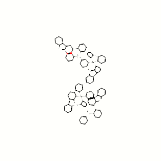 c1ccc(N(c2ccc3c(c2)C2(c4ccccc4-c4ccccc42)c2cccc4c5ccc(-c6cccc7c6-c6ccccc6C76c7ccc(N(c8ccccc8)c8ccccc8-c8cccc9c8sc8ccccc89)cc7-n7c8ccccc8c8cccc6c87)cc5n-3c24)c2ccccc2-c2ccc3sc4ccccc4c3c2)cc1